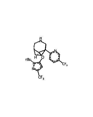 CCCCn1nc(C(F)(F)F)cc1O[C@H]1C2CCC1(c1ccc(C(F)(F)F)cn1)CNC2